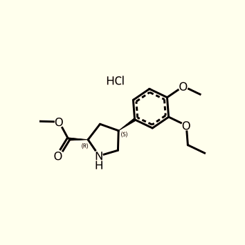 CCOc1cc([C@H]2CN[C@@H](C(=O)OC)C2)ccc1OC.Cl